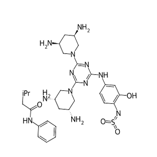 CC(C)CC(=O)Nc1ccccc1.N[C@@H]1C[C@H](N)CN(c2nc(Nc3ccc(N=S(=O)=O)c(O)c3)nc(N3C[C@H](N)C[C@H](N)C3)n2)C1